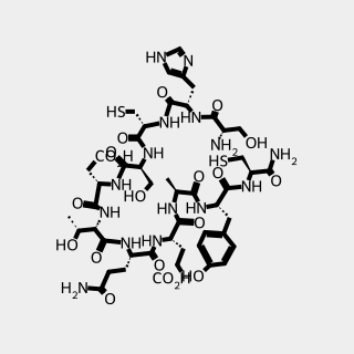 C[C@H](NC(=O)[C@H](CCC(=O)O)NC(=O)[C@H](CCC(N)=O)NC(=O)[C@@H](NC(=O)[C@H](CC(=O)O)NC(=O)[C@H](CO)NC(=O)[C@H](CS)NC(=O)[C@H](Cc1c[nH]cn1)NC(=O)[C@@H](N)CO)[C@@H](C)O)C(=O)N[C@@H](Cc1ccc(O)cc1)C(=O)N[C@@H](CS)C(N)=O